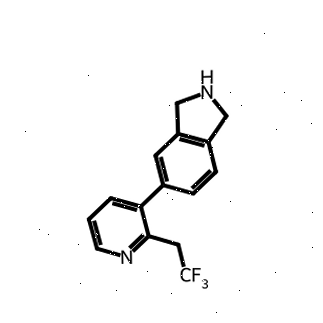 FC(F)(F)Cc1ncccc1-c1ccc2c(c1)CNC2